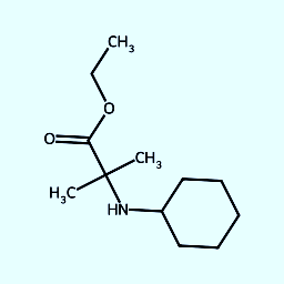 CCOC(=O)C(C)(C)NC1CCCCC1